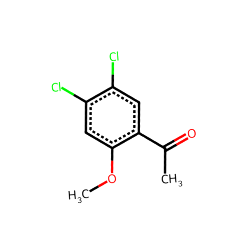 COc1cc(Cl)c(Cl)cc1C(C)=O